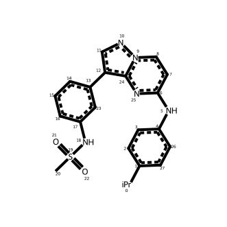 CC(C)c1ccc(Nc2ccn3ncc(-c4cccc(NS(C)(=O)=O)c4)c3n2)cc1